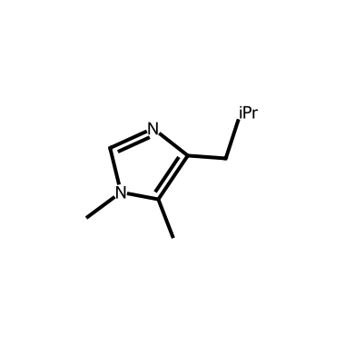 Cc1c(CC(C)C)ncn1C